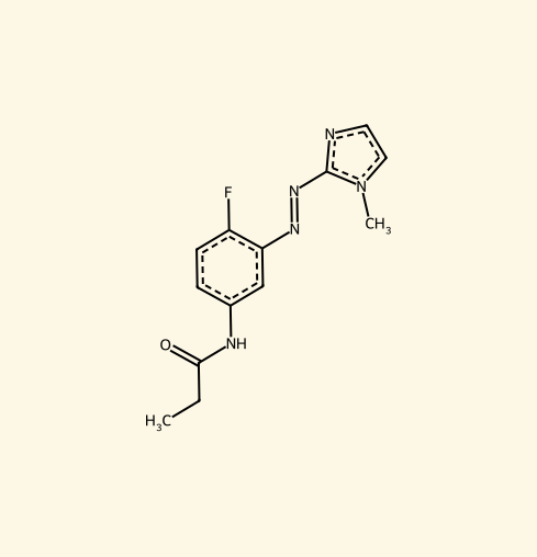 CCC(=O)Nc1ccc(F)c(/N=N/c2nccn2C)c1